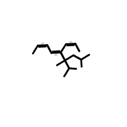 C\C=C/C=C(\C=C/C)C(C)(CC(C)C)C(C)C